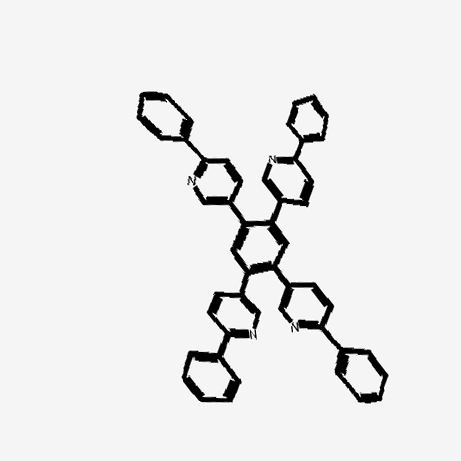 c1ccc(-c2ccc(-c3cc(-c4ccc(-c5ccccc5)nc4)c(-c4ccc(-c5ccccc5)nc4)cc3-c3ccc(-c4ccccc4)nc3)cn2)cc1